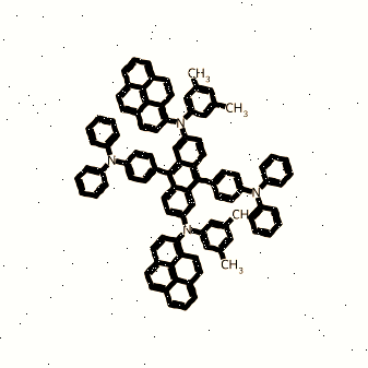 Cc1cc(C)cc(N(c2ccc3c(-c4ccc(N(c5ccccc5)c5ccccc5)cc4)c4cc(N(c5cc(C)cc(C)c5)c5ccc6ccc7cccc8ccc5c6c78)ccc4c(-c4ccc(N(c5ccccc5)c5ccccc5)cc4)c3c2)c2ccc3ccc4cccc5ccc2c3c45)c1